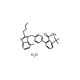 CCCCc1nc2cccc(C)c2n1Cc1ccc(-c2cccc(C(C)(C)C)c2C(=O)O)cc1.O